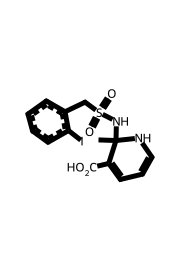 CC1(NS(=O)(=O)Cc2ccccc2I)NC=CC=C1C(=O)O